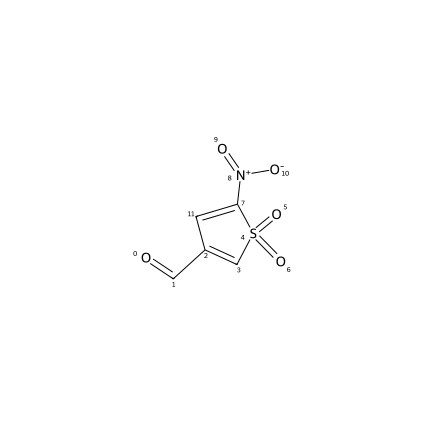 O=CC1=CS(=O)(=O)C([N+](=O)[O-])=C1